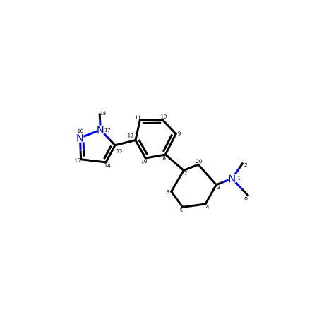 CN(C)C1CCCC(c2cccc(-c3ccnn3C)c2)C1